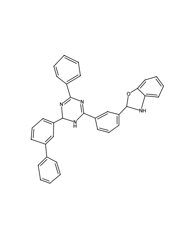 c1ccc(C2=NC(c3cccc(-c4ccccc4)c3)NC(c3cccc(C4Nc5ccccc5O4)c3)=N2)cc1